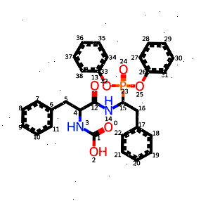 O=C(O)NC(Cc1ccccc1)C(=O)NC(Cc1ccccc1)P(=O)(Oc1ccccc1)Oc1ccccc1